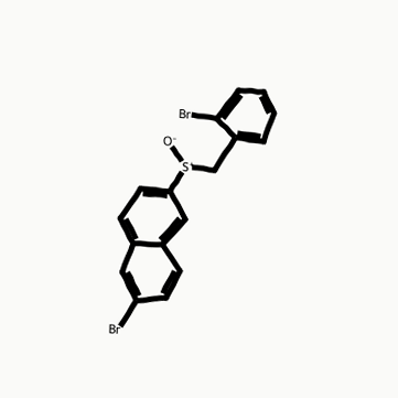 [O-][S+](Cc1ccccc1Br)c1ccc2cc(Br)ccc2c1